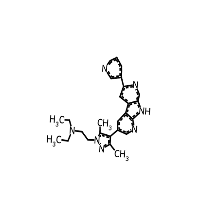 CCN(CC)CCn1nc(C)c(-c2cnc3[nH]c4cnc(-c5cccnc5)cc4c3c2)c1C